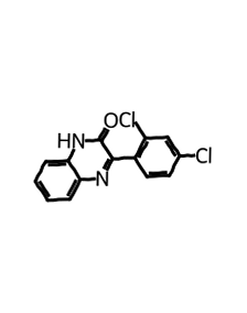 O=c1[nH]c2ccccc2nc1-c1ccc(Cl)cc1Cl